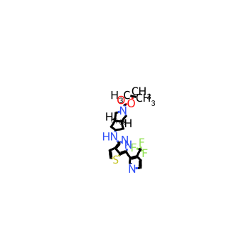 CC(C)(C)OC(=O)N1C[C@H]2CC(Nc3nnc(-c4cnccc4C(F)(F)F)c4sccc34)C[C@H]2C1